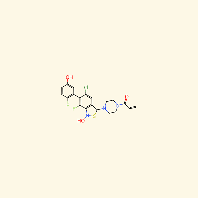 C=CC(=O)N1CCN(C2SN(O)c3c2cc(Cl)c(-c2cc(O)ccc2F)c3F)CC1